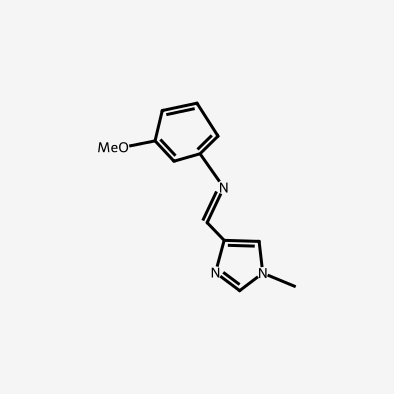 COc1cccc(N=Cc2cn(C)cn2)c1